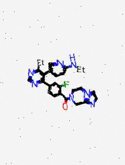 CCNc1ccc(-c2c(CC)ncnc2-c2ccc(C(=O)N3CCn4ccnc4C3)c(F)c2)cn1